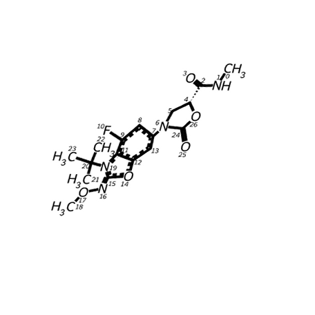 CNC(=O)[C@H]1CN(c2cc(F)c3c(c2)o/c(=N/OC)n3C(C)(C)C)C(=O)O1